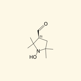 CC1(C)C[C@H](C=O)C(C)(C)N1O